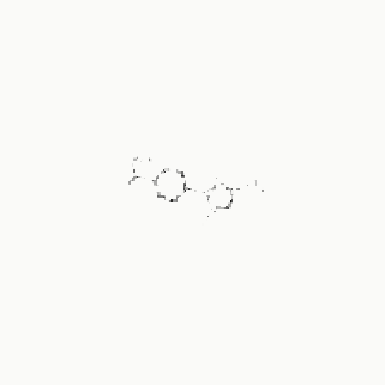 CCn1cc(C(F)(F)F)nc1-c1ccc(C(=O)OC)cc1